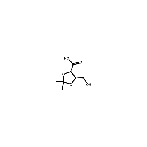 CC1(C)O[C@H](CO)[C@H](C(=O)O)O1